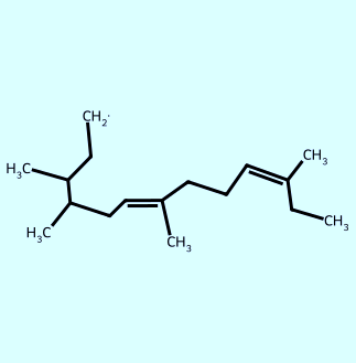 [CH2]CC(C)C(C)C/C=C(\C)CC/C=C(/C)CC